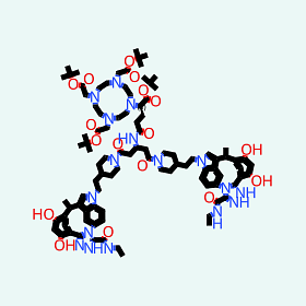 CCNC(=O)C(=N)N1C(=N)c2cc(c(O)cc2O)C(C)c2cn(CCC3CCN(C(=O)CC(CC(=O)N4CCC(CCn5cc6c7cc(ccc75)-n5c(C(=O)NCC)nnc5-c5cc(c(O)cc5O)C6C)CC4)NC(=O)CC[C@H](C(=O)OC(C)(C)C)N4CCN(CC(=O)OC(C)(C)C)CCN(CC(=O)OC(C)(C)C)CCN(CC(=O)OC(C)(C)C)CC4)CC3)c3ccc1cc23